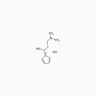 CN(C)CCC(O)[SH]1C=CC=C1.Cl